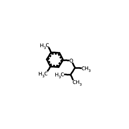 Cc1cc(C)cc(OC(C)C(C)C)c1